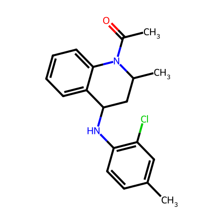 CC(=O)N1c2ccccc2C(Nc2ccc(C)cc2Cl)CC1C